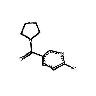 CCC(C)c1ccc(C(=O)N2CCCC2)cn1